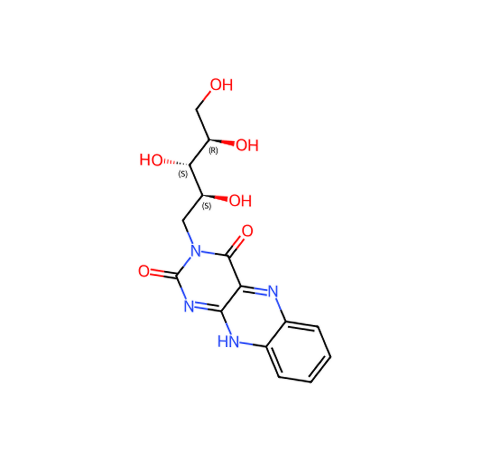 O=c1nc2[nH]c3ccccc3nc-2c(=O)n1C[C@H](O)[C@H](O)[C@H](O)CO